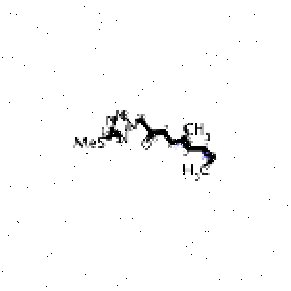 C/C=C\C=C(/C)CCC(=O)Cn1nnc(SC)n1